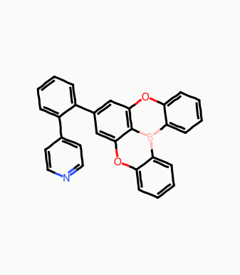 c1ccc2c(c1)Oc1cc(-c3ccccc3-c3ccncc3)cc3c1B2c1ccccc1O3